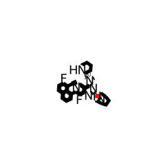 C#Cc1c(F)ccc2cccc(-c3ncc4c(N(C)C[C@H]5CCCCN5)nc(N5CC6CCC(C5)N6C)nc4c3F)c12